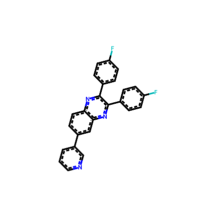 Fc1ccc(-c2nc3ccc(-c4cccnc4)cc3nc2-c2ccc(F)cc2)cc1